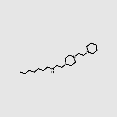 CCCCCCCNCCN1CCN(CCN2CCCCC2)CC1